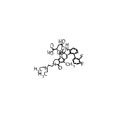 CCN(CC)CCN1CCc2[nH]c(C=C3C(=O)Nc4cccc(-c5cccc(F)c5F)c43)c(C)c2C1=O.O=C(O)CC(O)C(=O)O